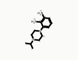 CC(C)N1CCN(c2cccc(N)c2N)CC1